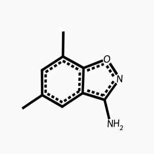 Cc1cc(C)c2onc(N)c2c1